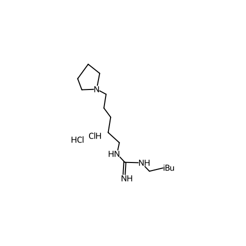 CCC(C)CNC(=N)NCCCCCN1CCCC1.Cl.Cl